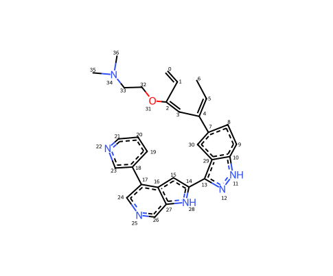 C=C/C(=C\C(=C/C)c1ccc2[nH]nc(-c3cc4c(-c5cccnc5)cncc4[nH]3)c2c1)OCCN(C)C